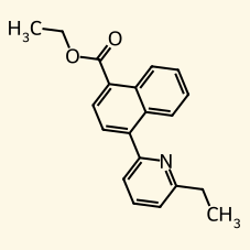 CCOC(=O)c1ccc(-c2cccc(CC)n2)c2ccccc12